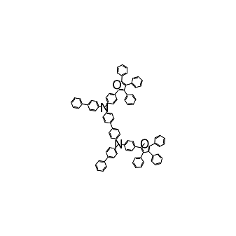 c1ccc(-c2ccc(N(c3ccc(-c4ccc(N(c5ccc(-c6ccccc6)cc5)c5ccc(-c6oc(-c7ccccc7)c(-c7ccccc7)c6-c6ccccc6)cc5)cc4)cc3)c3ccc(-c4oc(-c5ccccc5)c(-c5ccccc5)c4-c4ccccc4)cc3)cc2)cc1